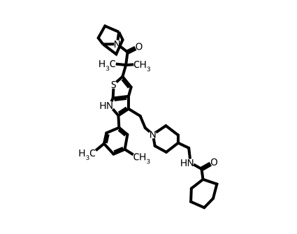 Cc1cc(C)cc(-c2[nH]c3sc(C(C)(C)C(=O)N4C5CCC4CC5)cc3c2CCN2CCC(CNC(=O)C3CCCCC3)CC2)c1